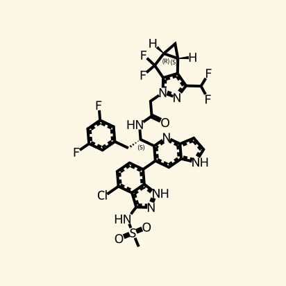 CS(=O)(=O)Nc1n[nH]c2c(-c3cc4[nH]ccc4nc3[C@H](Cc3cc(F)cc(F)c3)NC(=O)Cn3nc(C(F)F)c4c3C(F)(F)[C@@H]3C[C@H]43)ccc(Cl)c12